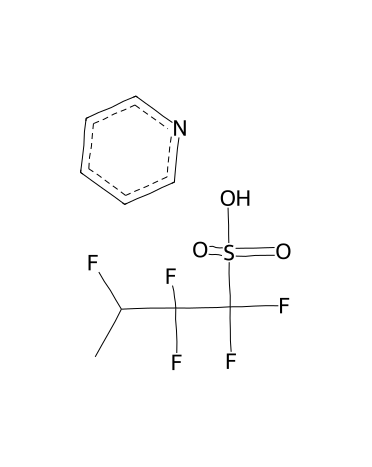 CC(F)C(F)(F)C(F)(F)S(=O)(=O)O.c1ccncc1